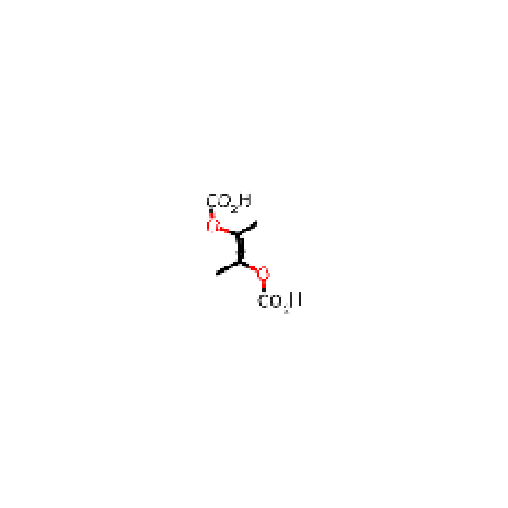 C/C(OC(=O)O)=C(/C)OC(=O)O